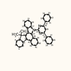 CC1(C)c2ccccc2-c2c1c1c3ccccc3n(-c3nc(-c4ccccc4)cc(-c4ccccc4)n3)c1c1ccccc21